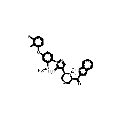 COc1cc(Oc2cccc(F)c2F)ccc1-n1ncc(C2COCC(C(=O)c3cc4ccccc4[nH]3)N2C)c1N